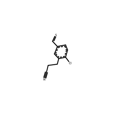 N#CCCc1cc(C=S)ccc1Cl